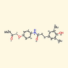 CNC(=O)COc1ccc(NC(=O)CCc2cc(C(C)(C)C)c(O)c(C(C)(C)C)c2)cc1